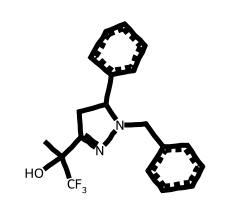 CC(O)(C1=NN(Cc2ccccc2)C(c2ccccc2)C1)C(F)(F)F